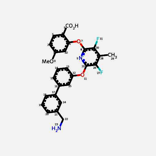 COc1ccc(C(=O)O)c(Oc2nc(Oc3cccc(-c4cccc(CN)c4)c3)c(F)c(C)c2F)c1